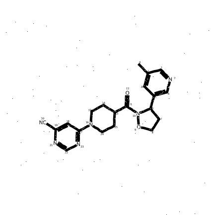 Cc1cncc(C2CCON2C(=O)C2CCN(c3cc(C#N)ncn3)CC2)c1